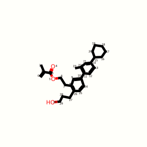 C=C(C)C(=O)OCCc1cc(-c2ccc(C3CCCCC3)cc2C)ccc1CCCO